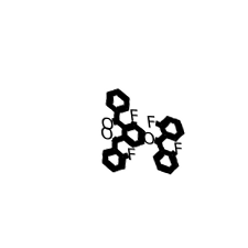 O=C(c1ccccc1F)c1cccc(F)c1C(=O)c1ccccc1.O=C(c1ccccc1F)c1ccccc1F